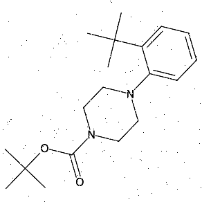 CC(C)(C)OC(=O)N1CCN(c2ccccc2C(C)(C)C)CC1